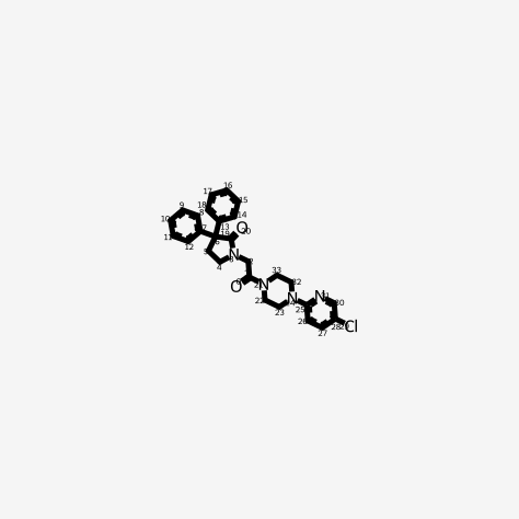 O=C(CN1CCC(c2ccccc2)(c2ccccc2)C1=O)N1CCN(c2ccc(Cl)cn2)CC1